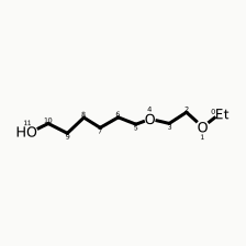 CCOCCOCCCCCCO